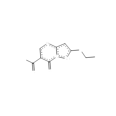 CCSc1cc2ncc(C(=O)O)c(=O)n2[nH]1